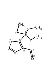 CC[Si](CC)(CC)c1occc1C=O